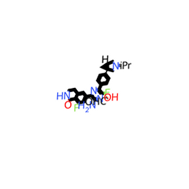 CC(C)N1C[C@H]2C[C@@]2(c2ccc(-c3nc(-c4cc(F)c5c(c4)CCNC5=O)c(N)nc3F)cc2)C1.O=CO